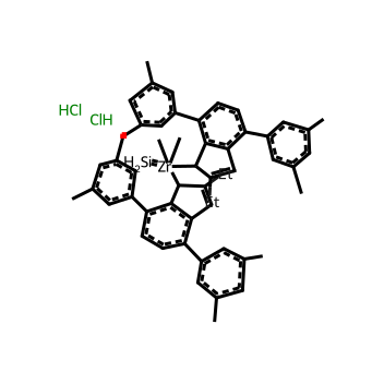 CCC1=Cc2c(-c3cc(C)cc(C)c3)ccc(-c3cc(C)cc(C)c3)c2[CH]1[Zr]([CH3])([CH3])(=[SiH2])[CH]1C(CC)=Cc2c(-c3cc(C)cc(C)c3)ccc(-c3cc(C)cc(C)c3)c21.Cl.Cl